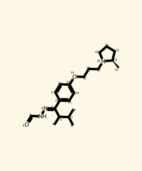 CC(C)C(C)/C(=N\NC=O)c1ccc(OCCCN2CCC[C@H]2C)cc1